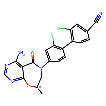 C[C@@H]1CN(c2ccc(-c3ccc(C#N)cc3Cl)c(F)c2)C(=O)c2c(N)ncnc2O1